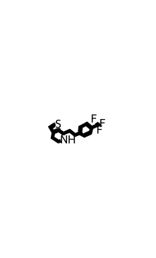 FC(F)(F)c1ccc(CCC2NCCc3ccsc32)cc1